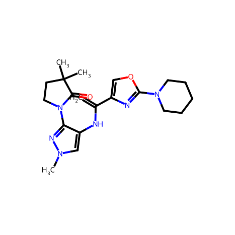 C=C(Nc1cn(C)nc1N1CCC(C)(C)C1=O)c1coc(N2CCCCC2)n1